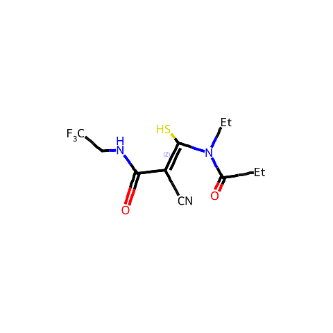 CCC(=O)N(CC)/C(S)=C(\C#N)C(=O)NCC(F)(F)F